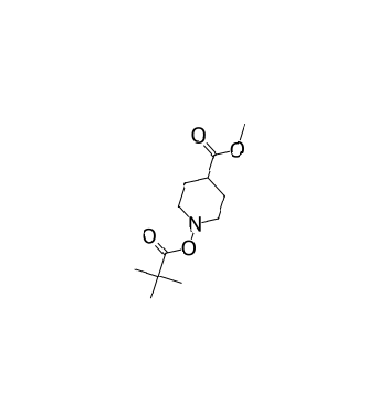 COC(=O)C1CCN(OC(=O)C(C)(C)C)CC1